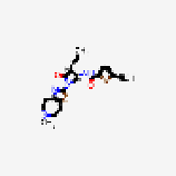 C#Cc1ccc(C(=O)N[C@H]2CN(c3nc4c(s3)CCN(C)CC4)C(=O)[C@@H]2CCC)s1